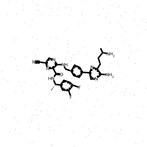 CC(N)CCc1nc(-c2ccc(CNc3ncc(C#N)nc3C(=O)N[C@@H](C)c3ccc(F)c(F)c3)cc2)cnc1N